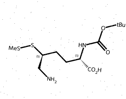 CSS[C@H](CN)CC[C@H](NC(=O)OC(C)(C)C)C(=O)O